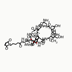 CC[C@H](C)[C@@H]1NC(=O)CNC(=O)[C@@H]2Cc3c([nH]c4c(CSCCNC(=O)CCCCN5C(=O)C=CC5=O)c(OC)ccc34)[S+]([O-])C[C@H](NC(=O)CNC1=O)C(=O)N[C@@H](CC(N)=O)C(=O)N1C[C@H](O)C[C@H]1C(=O)N[C@@H]([C@@H](C)[C@@H](O)CO)C(=O)N2